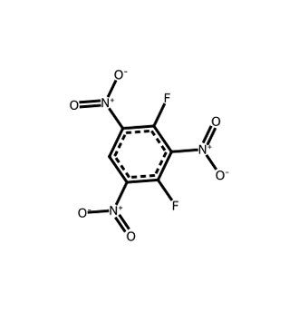 O=[N+]([O-])c1cc([N+](=O)[O-])c(F)c([N+](=O)[O-])c1F